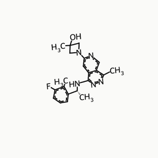 Cc1c(F)cccc1[C@@H](C)Nc1nnc(C)c2cnc(N3CC(C)(O)C3)cc12